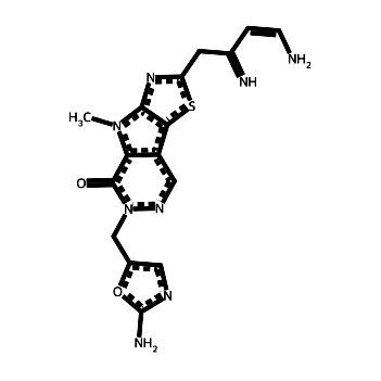 Cn1c2nc(CC(=N)/C=C\N)sc2c2cnn(Cc3cnc(N)o3)c(=O)c21